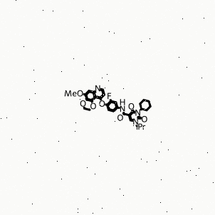 COc1cc2nccc(Oc3ccc(NC(=O)c4cn(C(C)C)c(=O)n(C5CCCCC5)c4=O)cc3F)c2c2c1OCCO2